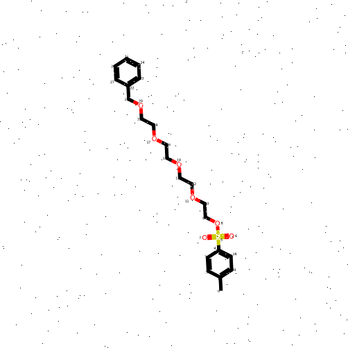 Cc1ccc(S(=O)(=O)OCCOCCOCCOCCOCc2ccccc2)cc1